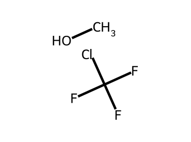 CO.FC(F)(F)Cl